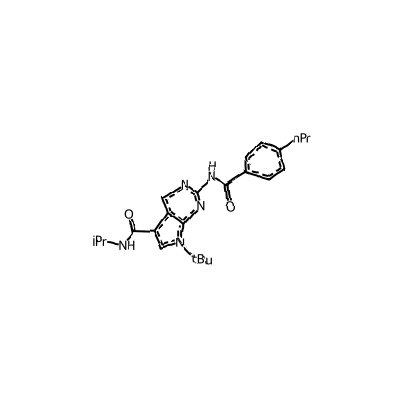 CCCc1ccc(C(=O)Nc2ncc3c(C(=O)NC(C)C)cn(C(C)(C)C)c3n2)cc1